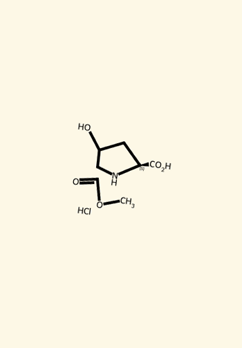 COC=O.Cl.O=C(O)[C@@H]1CC(O)CN1